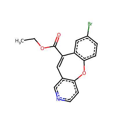 CCOC(=O)C1=Cc2cnccc2Oc2ccc(Br)cc21